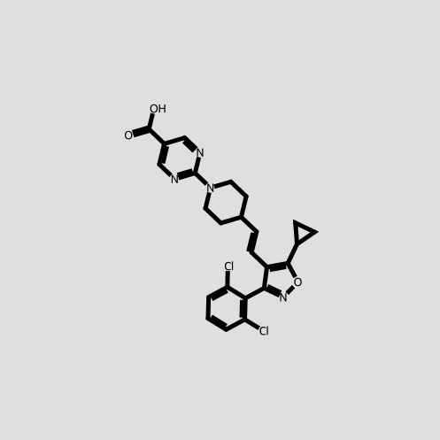 O=C(O)c1cnc(N2CCC(C=Cc3c(-c4c(Cl)cccc4Cl)noc3C3CC3)CC2)nc1